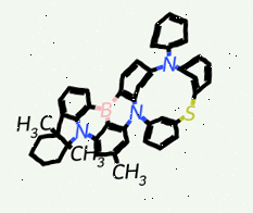 Cc1cc2c3c(c1)N1c4c(cccc4C4(C)CCCCC14C)B3c1ccc3cc1N2c1cccc(c1)Sc1cccc(c1)N3c1ccccc1